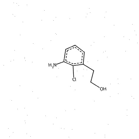 Nc1cccc(CCO)c1Cl